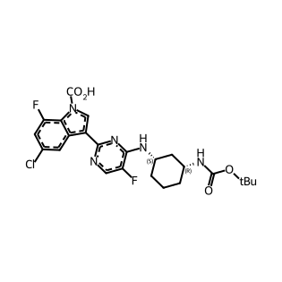 CC(C)(C)OC(=O)N[C@@H]1CCC[C@H](Nc2nc(-c3cn(C(=O)O)c4c(F)cc(Cl)cc34)ncc2F)C1